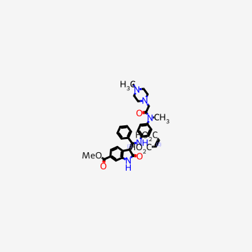 COC(=O)c1ccc2c(c1)NC(=O)/C2=C(\Nc1ccc(N(C)C(=O)CN2CCN(C)CC2)cc1)c1ccccc1.O=C(O)/C=C\C(=O)O